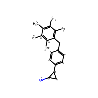 Cc1c(C)[c]([Re])c(Cc2ccc(C3CC3N)cc2)[c]([RaH])[c]1[Rb]